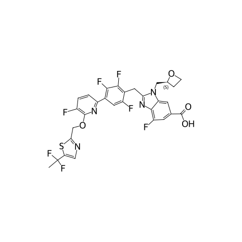 CC(F)(F)c1cnc(COc2nc(-c3cc(F)c(Cc4nc5c(F)cc(C(=O)O)cc5n4C[C@@H]4CCO4)c(F)c3F)ccc2F)s1